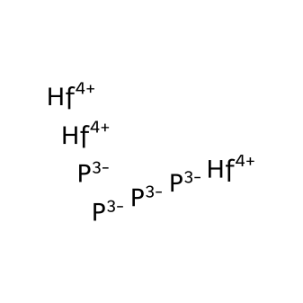 [Hf+4].[Hf+4].[Hf+4].[P-3].[P-3].[P-3].[P-3]